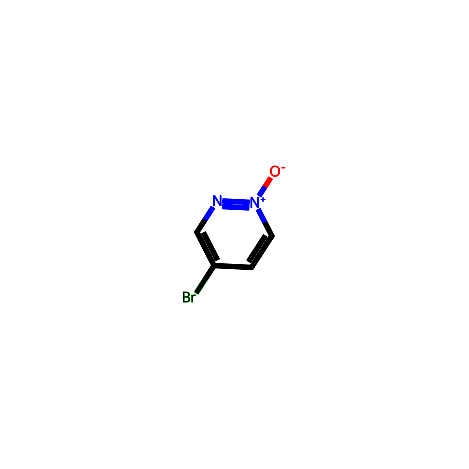 [O-][n+]1ccc(Br)cn1